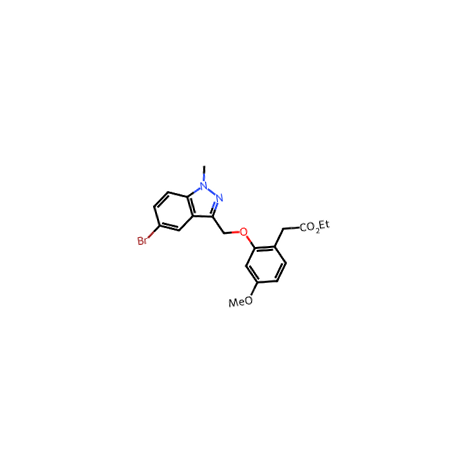 CCOC(=O)Cc1ccc(OC)cc1OCc1nn(C)c2ccc(Br)cc12